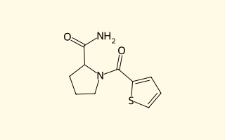 NC(=O)C1CCCN1C(=O)c1cccs1